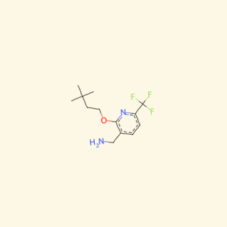 CC(C)(C)CCOc1nc(C(F)(F)F)ccc1CN